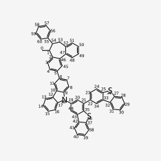 CC1c2ccc(-c3ccc4c(c3)c3ccccc3n4-c3cc(-c4ccc5sc6ccccc6c5c4)c4sc5ccccc5c4c3)cc2-c2ccccc2CC1c1ccccc1